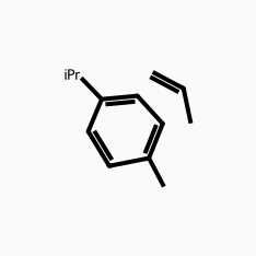 C=CC.Cc1ccc(C(C)C)cc1